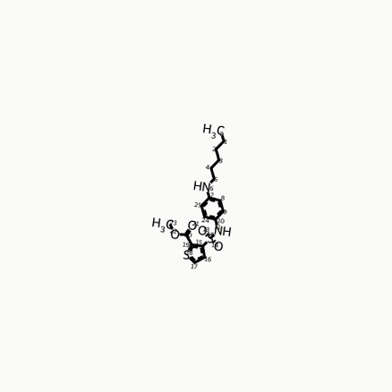 CCCCCCNc1ccc(NS(=O)(=O)c2ccsc2C(=O)OC)cc1